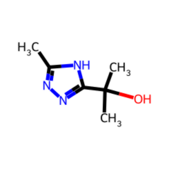 Cc1nnc(C(C)(C)O)[nH]1